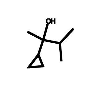 CC(C)C(C)(O)C1CC1